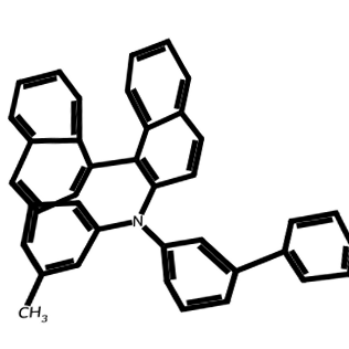 Cc1cccc(N(c2cccc(-c3ccccc3)c2)c2ccc3ccccc3c2-c2cccc3ccccc23)c1